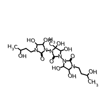 CC(O)CCN1C(=O)N(N2C(=O)N(N3C(=O)N(CCC(C)O)C(O)C3O)C(C)(O)C2O)C(O)C1O